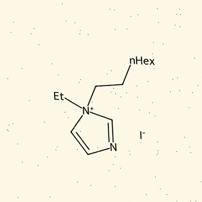 CCCCCCCC[N+]1(CC)C=CN=C1.[I-]